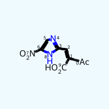 CC(=O)C(=Cc1ncc([N+](=O)[O-])[nH]1)C(=O)O